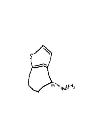 N[C@@H]1CCc2sccc21